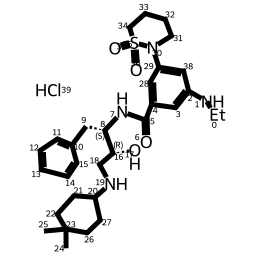 CCNc1cc(C(=O)N[C@@H](Cc2ccccc2)[C@H](O)CNC2CCC(C)(C)CC2)cc(N2CCCCS2(=O)=O)c1.Cl